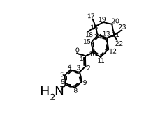 CC(=Cc1ccc(N)cc1)c1ccc2c(c1)C(C)(C)CCC2(C)C